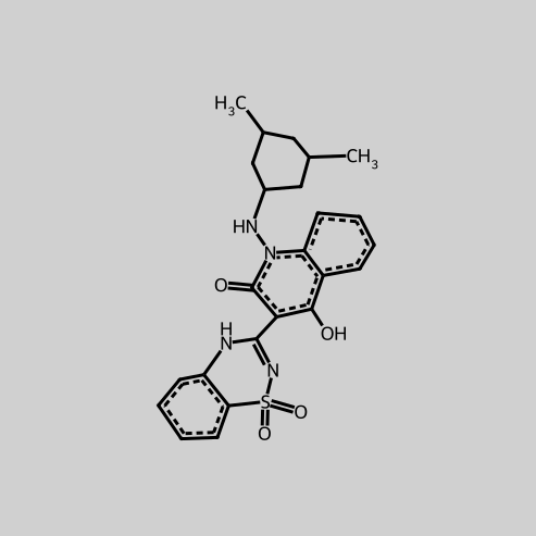 CC1CC(C)CC(Nn2c(=O)c(C3=NS(=O)(=O)c4ccccc4N3)c(O)c3ccccc32)C1